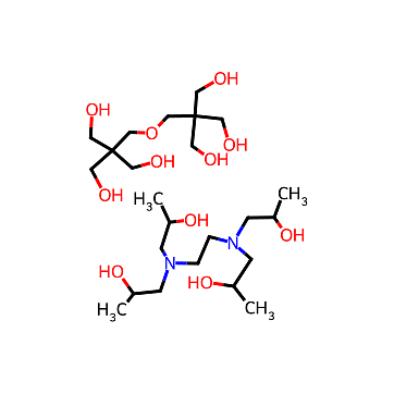 CC(O)CN(CCN(CC(C)O)CC(C)O)CC(C)O.OCC(CO)(CO)COCC(CO)(CO)CO